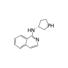 c1ccc2c(N[C@@H]3CCPC3)nccc2c1